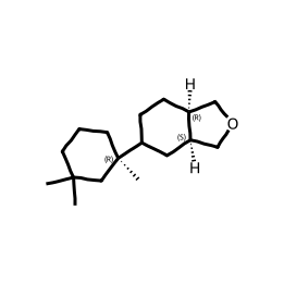 CC1(C)CCC[C@@](C)(C2CC[C@H]3COC[C@H]3C2)C1